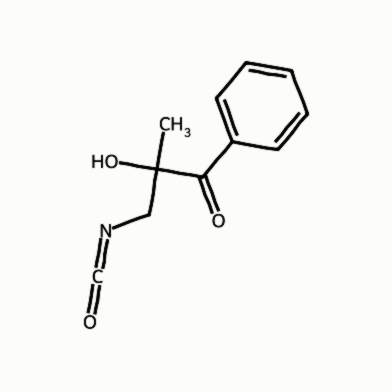 CC(O)(CN=C=O)C(=O)c1ccccc1